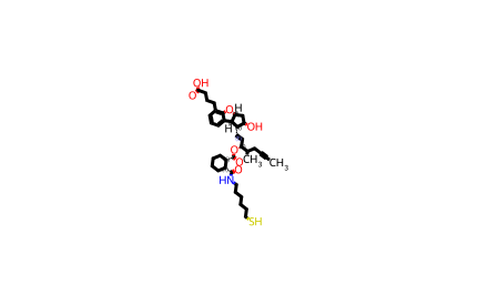 CC#CCC(C)[C@@H](/C=C/[C@H]1C(O)C[C@@H]2Oc3c(CCCC(=O)O)cccc3[C@@H]21)OC(=O)[C@H]1CCCC[C@H]1C(=O)NCCCCCCS